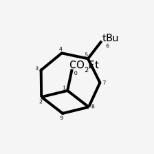 CCOC(=O)C1C2CCC(C(C)(C)C)CC1C2